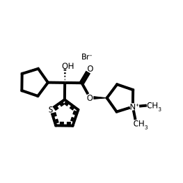 C[N+]1(C)CC[C@H](OC(=O)[C@@](O)(c2cccs2)C2CCCC2)C1.[Br-]